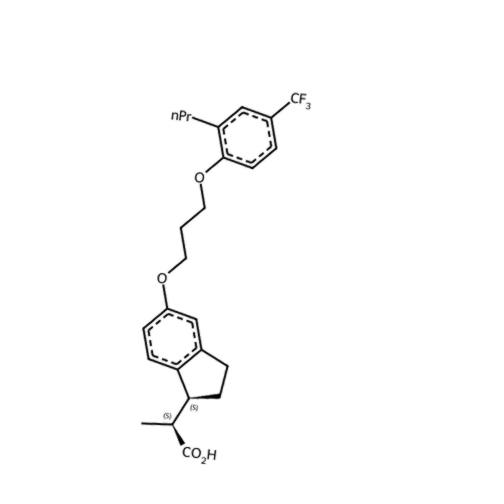 CCCc1cc(C(F)(F)F)ccc1OCCCOc1ccc2c(c1)CC[C@H]2[C@H](C)C(=O)O